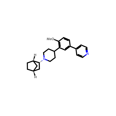 COc1ccc(-c2ccncc2)cc1C1CCN([C@@H]2C[C@@H]3CC[C@H]2C3)CC1